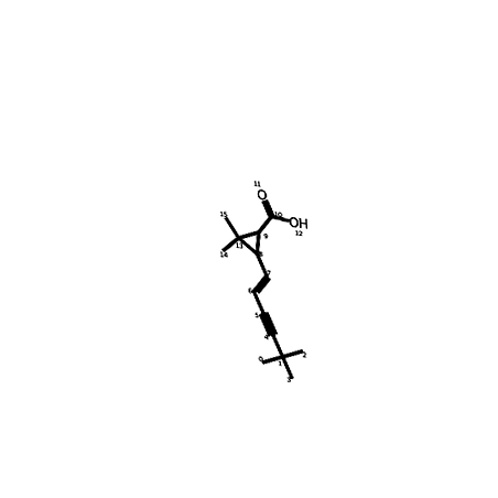 CC(C)(C)C#CC=CC1C(C(=O)O)C1(C)C